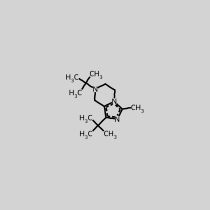 Cc1nc(C(C)(C)C)c2n1CCN(C(C)(C)C)C2